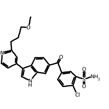 COCCCc1cc(-c2c[nH]c3cc(C(=O)c4ccc(Cl)c(S(N)(=O)=O)c4)ccc23)ccn1